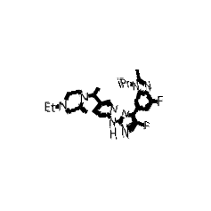 CCN1CCN(C(C)c2ccc(Nc3ncc(F)c(-c4cc(F)c5nc(C)n(C(C)C)c5c4)n3)nc2)C(C)C1